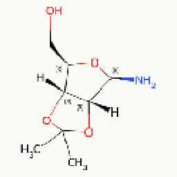 CC1(C)O[C@@H]2[C@H](O1)[C@@H](CO)O[C@H]2N